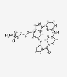 CC1CCCN1C(=O)C1CCC(Nc2nccc(-n3ncc4c(OCCCS(N)(=O)=O)cccc43)n2)CC1